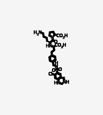 NCCCC[C@H](NC(CCc1ccc(CNS(=O)(=O)c2cc3c(cc2Cl)NCNS3)cc1)C(=O)O)C(=O)N1CCC[C@H]1C(=O)O